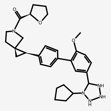 COc1ccc(C2NNNN2C2CCCC2)cc1-c1ccc([C@H]2C[C@]23CCN(C(=O)[C@H]2CCCO2)C3)cc1